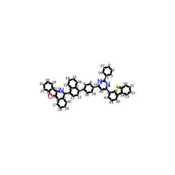 c1ccc(-c2nc(-c3ccc(-c4ccc(-c5nc6c7ccccc7oc6c6ccccc56)c5ccccc45)cc3)cc(-c3cccc4c3sc3ccccc34)n2)cc1